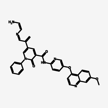 C=C(/C=N\C=C/N)c1cc(C(=O)Nc2ccc(Oc3ccnc4cc(OC)ccc34)cn2)c(=O)n(-c2ccccc2)c1